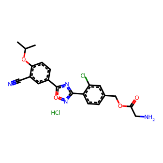 CC(C)Oc1ccc(-c2nc(-c3ccc(COC(=O)CN)cc3Cl)no2)cc1C#N.Cl